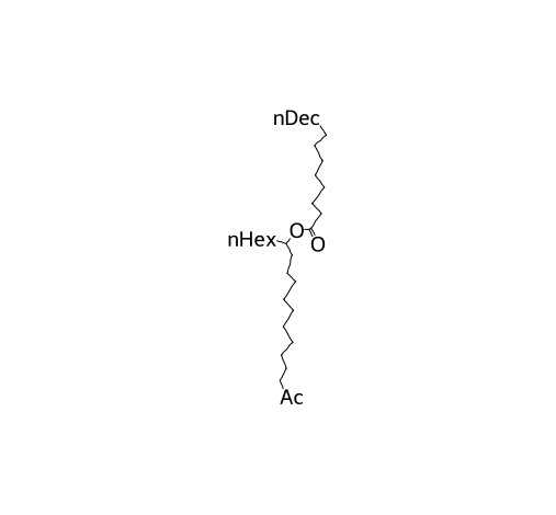 CCCCCCCCCCCCCCCCCC(=O)OC(CCCCCC)CCCCCCCCCCC(C)=O